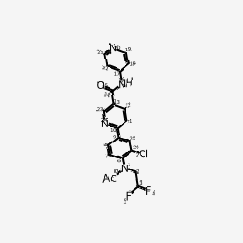 CC(=O)N(CC(F)F)c1ccc(-c2ccc(C(=O)Nc3ccncc3)cn2)cc1Cl